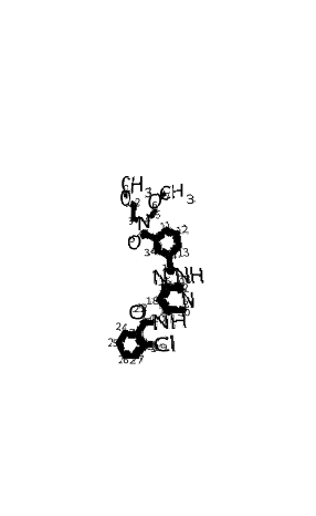 COCCN(COC)C(=O)c1cccc(-c2nc3cc(NC(=O)c4ccccc4Cl)cnc3[nH]2)c1